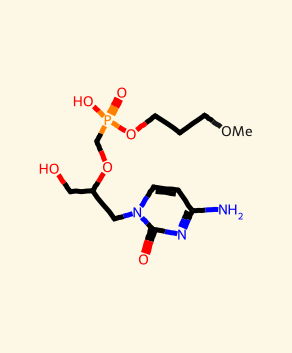 COCCCOP(=O)(O)COC(CO)Cn1ccc(N)nc1=O